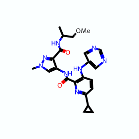 COCC(C)NC(=O)c1nn(C)cc1NC(=O)c1nc(C2CC2)ccc1Nc1cncnc1